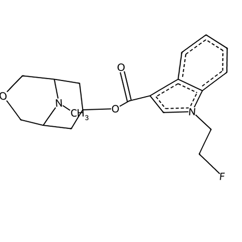 CN1C2COCC1CC(OC(=O)c1cn(CCF)c3ccccc13)C2